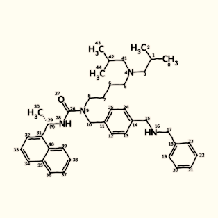 CC(C)CN(CCCCN(Cc1ccc(CNCc2ccccc2)cc1)C(=O)N[C@@H](C)c1cccc2ccccc12)CC(C)C